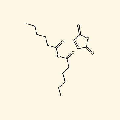 CCCCCC(=O)OC(=O)CCCCC.O=C1C=CC(=O)O1